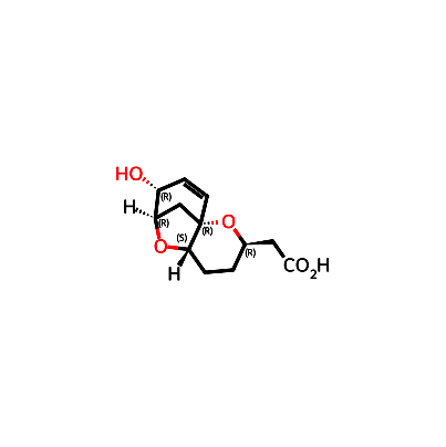 O=C(O)C[C@H]1CC[C@@H]2O[C@@H]3C[C@]2(C=C[C@H]3O)O1